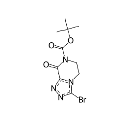 CC(C)(C)OC(=O)N1CCn2c(Br)nnc2C1=O